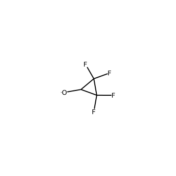 [O]C1C(F)(F)C1(F)F